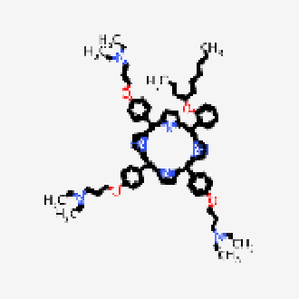 CCCCCCC(CCC)Oc1ccccc1-c1c2nc(c(-c3ccc(OCCCN(CC)CC)cc3)c3ccc([nH]3)c(-c3ccc(OCCCN(CC)CC)cc3)c3nc(c(-c4ccc(OCCCN(CC)CC)cc4)c4ccc1[nH]4)C=C3)C=C2